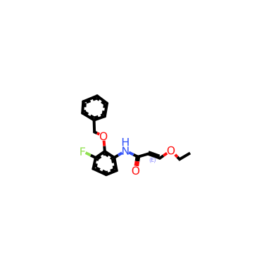 CCO/C=C/C(=O)Nc1cccc(F)c1OCc1ccccc1